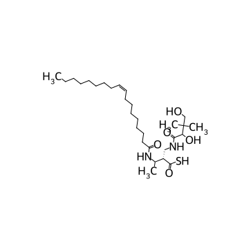 CCCCCCCC/C=C\CCCCCCCC(=O)NC(C)[C@H](CNC(=O)C(O)C(C)(C)CO)C(=O)S